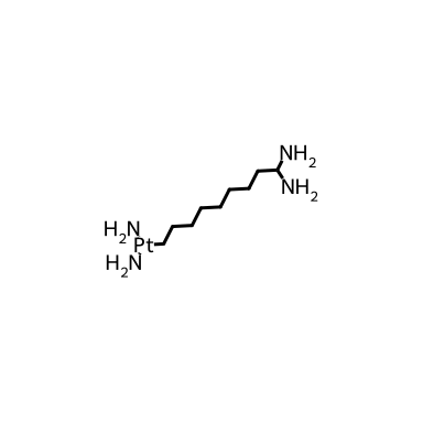 NC(N)CCCCCCC[CH2][Pt]([NH2])[NH2]